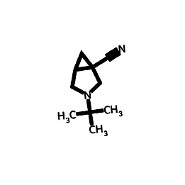 CC(C)(C)N1CC2CC2(C#N)C1